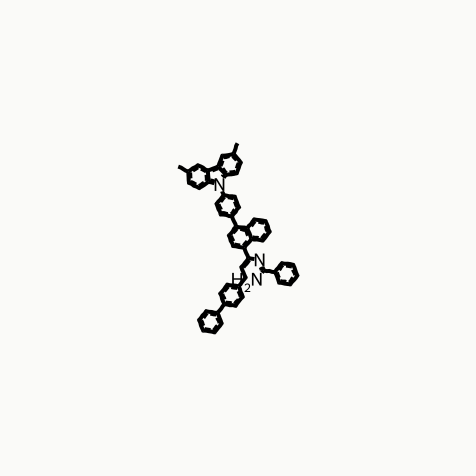 Cc1ccc2c(c1)c1cc(C)ccc1n2-c1ccc(-c2ccc(C(=C/Cc3ccc(-c4ccccc4)cc3)/N=C(\N)c3ccccc3)c3ccccc23)cc1